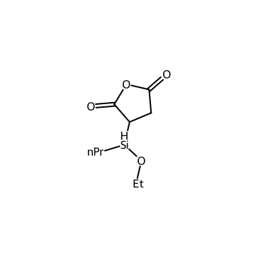 CCC[SiH](OCC)C1CC(=O)OC1=O